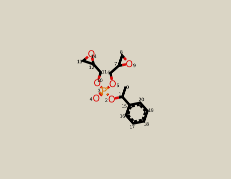 CC(OP(=O)(OCC1CO1)OCC1CO1)c1ccccc1